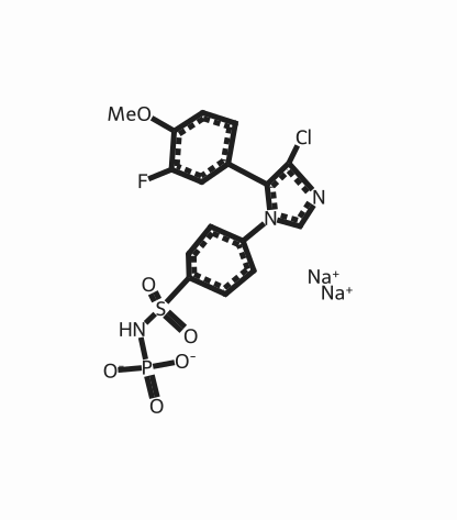 COc1ccc(-c2c(Cl)ncn2-c2ccc(S(=O)(=O)NP(=O)([O-])[O-])cc2)cc1F.[Na+].[Na+]